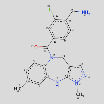 Cc1ccc2c(c1)Nc1c(cnn1C)CN2C(=O)c1ccc(CN)c(F)c1